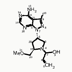 C=CC(O)N1C[C@@H](n2nc(I)c3c(N)ncnc32)C[C@@H]1COC